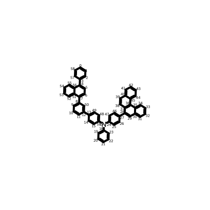 c1ccc(-c2ccc(-c3cccc(-c4ccc(N(c5ccccc5)c5ccc(-c6cc7ccccc7c7c6ccc6ccccc67)cc5)cc4)c3)c3ccccc23)cc1